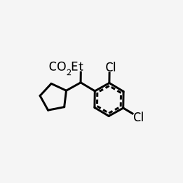 CCOC(=O)C(c1ccc(Cl)cc1Cl)C1CCCC1